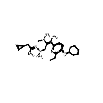 CCc1nc(/C(N)=C(\CN(N)/N=C(\N)CC2CC2)N(C)N)ccc1OC1CCCCC1